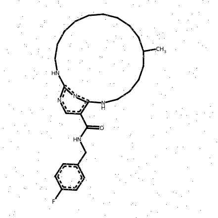 CC1CCCCCCCCCNc2ncc(C(=O)NCc3ccc(F)cc3)c(n2)NCCCC1